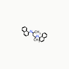 C/C(C/C(C)=N/c1cccc2ccccc12)=N/c1cccc2ccccc12